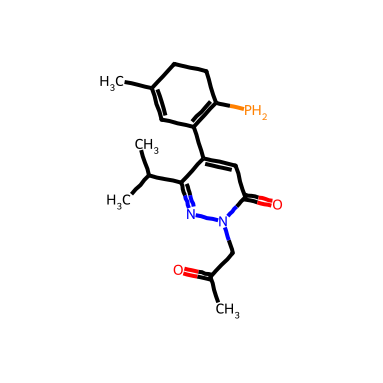 CC(=O)Cn1nc(C(C)C)c(C2=C(P)CCC(C)=C2)cc1=O